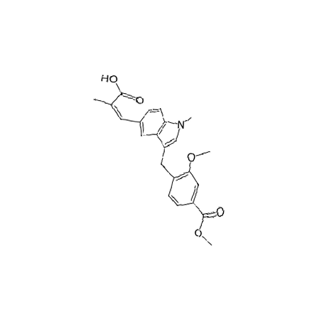 COC(=O)c1ccc(Cc2cn(C)c3ccc(/C=C(/C)C(=O)O)cc23)c(OC)c1